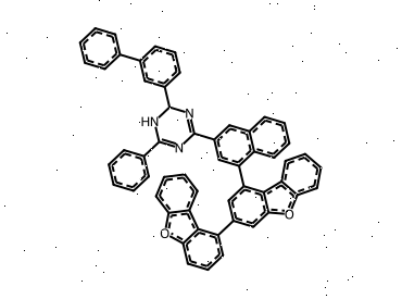 c1ccc(C2=NC(c3cc(-c4cc(-c5cccc6oc7ccccc7c56)cc5oc6ccccc6c45)c4ccccc4c3)=NC(c3cccc(-c4ccccc4)c3)N2)cc1